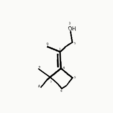 C/C(CO)=C1/CCC1(C)C